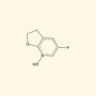 O[n+]1cc(F)cc2c1OCC2